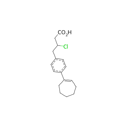 O=C(O)CC(Cl)Cc1ccc(C2=CCCCCC2)cc1